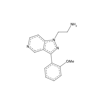 COc1ccccc1-c1nn(CCN)c2ccncc12